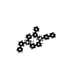 c1ccc(C2=NC(c3cccc(-c4ccccc4)c3)=NC(c3cccc(-c4cccc(-c5nc(-c6ccc(-c7ccccc7)cc6)nc(-c6cccc(-c7ccccc7)c6)n5)c4)c3)N2)cc1